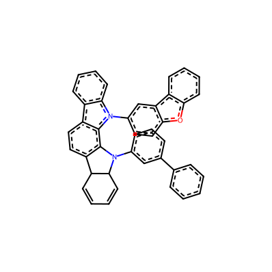 C1=CC2c3ccc4c5ccccc5n(-c5ccc6oc7ccccc7c6c5)c4c3N(c3cccc(-c4ccccc4)c3)C2C=C1